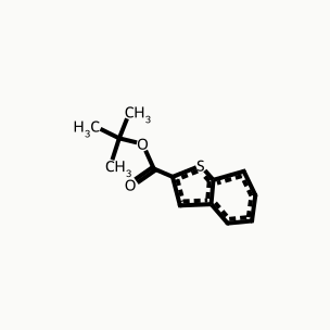 CC(C)(C)OC(=O)c1cc2ccccc2s1